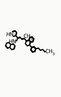 CCCCCc1cccc(C2=c3ccccc3=C(/C(C)=C/C=C(\CNC3C=CCC4C=CCCC43)C3=CC=CNC3)CC2)c1